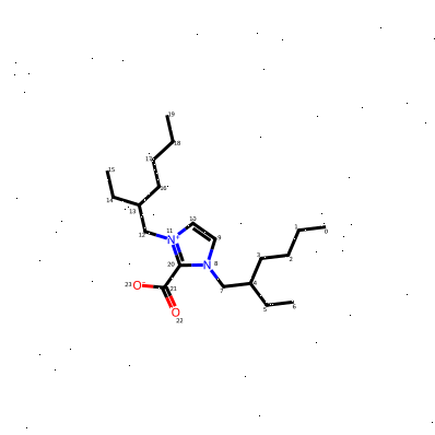 CCCCC(CC)Cn1cc[n+](CC(CC)CCCC)c1C(=O)[O-]